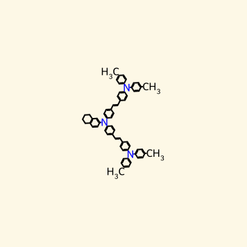 Cc1ccc(N(c2ccc(C)cc2)c2ccc(/C=C/c3ccc(N(c4ccc(/C=C/c5ccc(N(c6ccc(C)cc6)c6ccc(C)cc6)cc5)cc4)c4ccc5c(c4)CCCC5)cc3)cc2)cc1